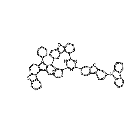 c1ccc(-c2nc(-c3ccc4c(c3)oc3cc(-n5c6ccccc6c6ccccc65)ccc34)nc(-c3cccc4oc5ccc(-c6cccc7c8c9c(ccc8n(-c8ccccc8)c67)sc6ccccc69)cc5c34)n2)cc1